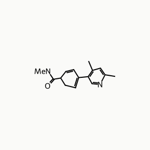 CNC(=O)C1C=CC(c2cnc(C)cc2C)=CC1